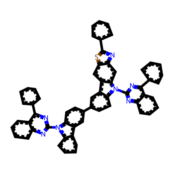 c1ccc(-c2nc3cc4c(cc3s2)c2cc(-c3ccc5c(c3)c3ccccc3n5-c3nc(-c5ccccc5)c5ccccc5n3)ccc2n4-c2nc(-c3ccccc3)c3ccccc3n2)cc1